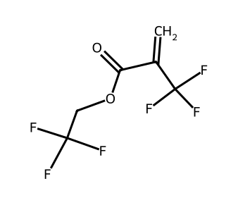 C=C(C(=O)OCC(F)(F)F)C(F)(F)F